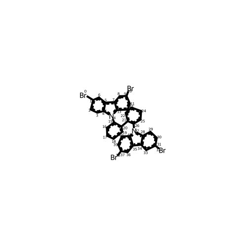 Brc1ccc2c(c1)c1cc(Br)ccc1n2-c1ccccc1-c1ccccc1-n1c2ccc(Br)cc2c2cc(Br)ccc21